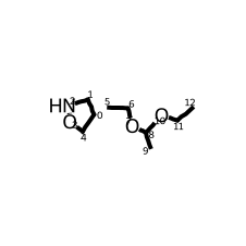 C1CNOC1.CCOC(C)OCC